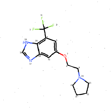 FC(F)(F)c1cc(OCCN2CCCC2)cc2nc[nH]c12